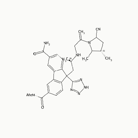 C=C(CN[C@H](C)CC1(c2nn[nH]n2)c2ccc(C(N)=O)cc2-c2cc(C(=O)NC)ccc21)N1C(C#N)C[C@H](C)C1C